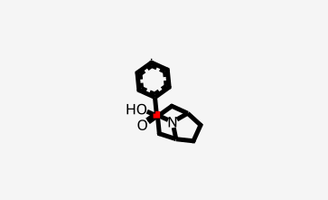 O=C(c1cc[c]cc1)N1C2CCC1CC(O)C2